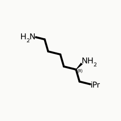 CC(C)C[C@H](N)CCCCN